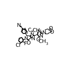 COc1nc(N2CCS(=O)(=O)CC2)ncc1-c1nc2c(n1C(C)C)C(c1ccc(C#N)cc1)N(c1cccc(Cl)c1F)C2=O